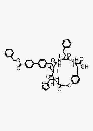 O=C1COc2ccc(cc2)C[C@@H](C(=O)O)NC(=O)[C@@H](CCc2ccccc2)NC(=O)[C@H](Cc2ccc(-c3ccc(C(=O)OCc4ccccc4)cc3)cc2)NC(=O)[C@@H](Cc2cccs2)N1